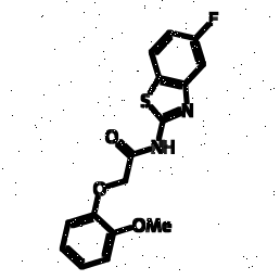 COc1ccccc1OCC(=O)Nc1nc2cc(F)ccc2s1